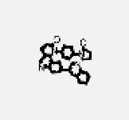 O=C1CCCN1c1ccc(-n2c(=O)ccc3cnc4ccc(-c5cnc6ccccc6c5)cc4c32)cc1